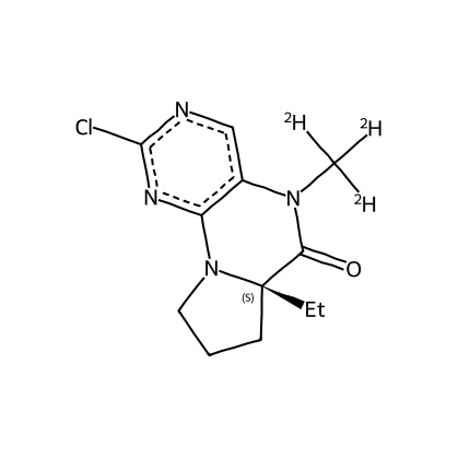 [2H]C([2H])([2H])N1C(=O)[C@]2(CC)CCCN2c2nc(Cl)ncc21